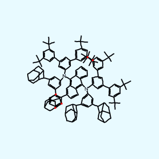 CC(C)(C)c1cc(-c2cc(-c3cc(C(C)(C)C)cc(C(C)(C)C)c3)cc(N(c3cc(C4C5CC6CC(C5)CC4C6)cc(C4C5CC6CC(C5)CC4C6)c3)c3c4ccccc4c(N(c4cc(-c5cc(C(C)(C)C)cc(C(C)(C)C)c5)cc(-c5cc(C(C)(C)C)cc(C(C)(C)C)c5)c4)c4cc(C5C6CC7CC(C6)CC5C7)cc(C5C6CC7CC(C6)CC5C7)c4)c4cc(-c5ccccc5)ccc34)c2)cc(C(C)(C)C)c1